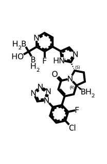 BC(B)(O)c1nccc(-c2cnc([C@@H]3CC[C@]4(B)CC(c5c(-n6cnnn6)ccc(Cl)c5F)=CC(=O)N34)[nH]2)c1F